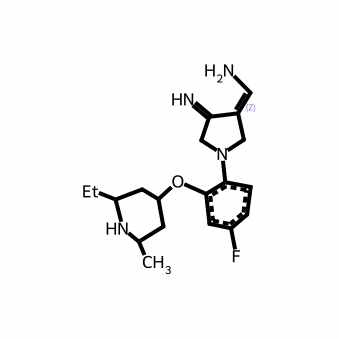 CCC1CC(Oc2cc(F)ccc2N2CC(=N)/C(=C\N)C2)CC(C)N1